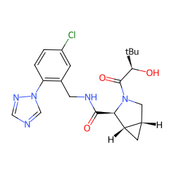 CC(C)(C)[C@@H](O)C(=O)N1C[C@@H]2C[C@@H]2[C@H]1C(=O)NCc1cc(Cl)ccc1-n1cncn1